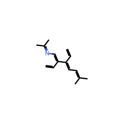 C=CC(=C\C=C(C)C)/C(C=C)=C/N=C(C)C